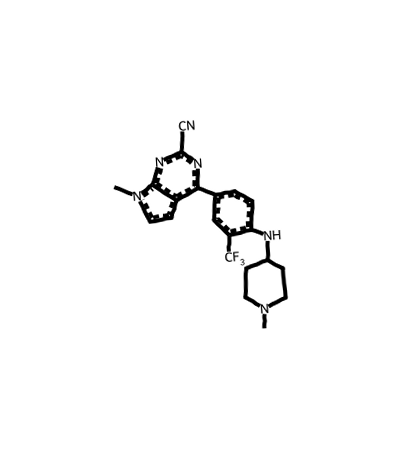 CN1CCC(Nc2ccc(-c3nc(C#N)nc4c3ccn4C)cc2C(F)(F)F)CC1